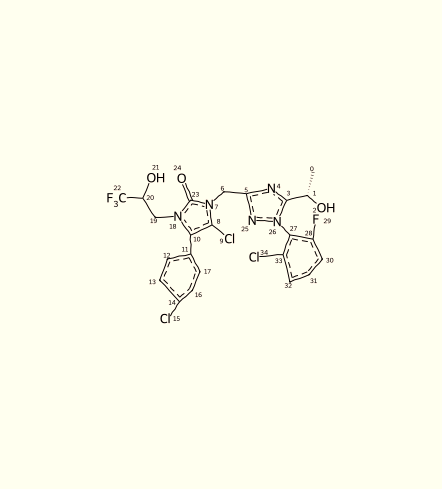 C[C@H](O)c1nc(Cn2c(Cl)c(-c3ccc(Cl)cc3)n(CC(O)C(F)(F)F)c2=O)nn1-c1c(F)cccc1Cl